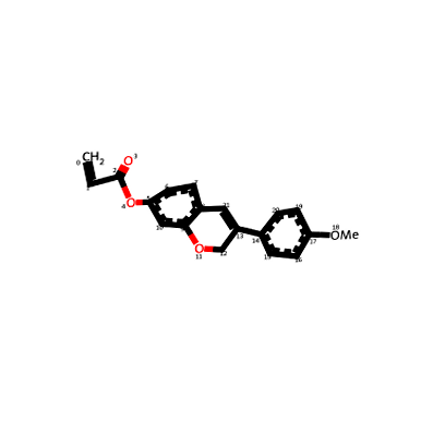 C=CC(=O)Oc1ccc2c(c1)OCC(c1ccc(OC)cc1)=C2